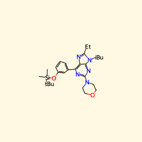 CCc1nc2c(-c3cccc(O[Si](C)(C)C(C)(C)C)c3)nc(N3CCOCC3)nc2n1C(C)CC